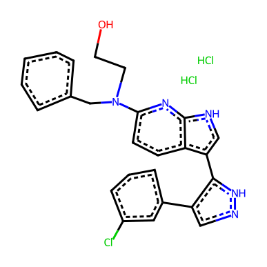 Cl.Cl.OCCN(Cc1ccccc1)c1ccc2c(-c3[nH]ncc3-c3cccc(Cl)c3)c[nH]c2n1